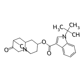 CC(C)(C)n1cc(C(=O)OC2CC3CC4CC(C2)N3CC4=O)c2ccccc21